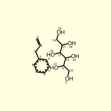 C=CCc1ccccc1.OCC(O)C(O)C(O)C(O)CO